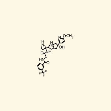 COc1ccc([C@@]2(O)CC3CC([C@]4(NC(=O)CNC(=O)c5cccc(C(F)(F)F)c5)CCNC4)C[C@H]3C2)cn1